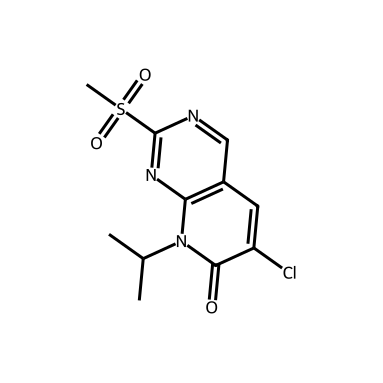 CC(C)n1c(=O)c(Cl)cc2cnc(S(C)(=O)=O)nc21